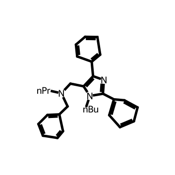 CCCCn1c(-c2ccccc2)nc(-c2ccccc2)c1CN(CCC)Cc1ccccc1